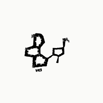 C[C@@H]1C[C@H](N)C[C@@H]1c1cnc2cnc3[nH]ccc3n12.Cl